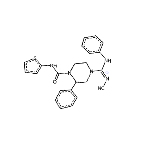 N#C/N=C(/Nc1ccccc1)N1CCN(C(=O)Nc2cccs2)C(c2ccccc2)C1